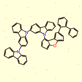 c1ccc(-c2ccccc2-c2ccc3oc4cccc(-n5c6ccccc6c6ccc(-n7c8ccccc8c8cc(-n9c%10ccccc%10c%10ccccc%109)ccc87)cc65)c4c3c2)cc1